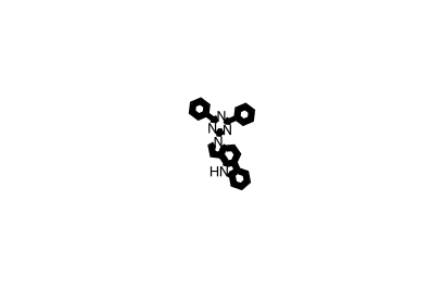 c1ccc(-c2nc(-c3ccccc3)nc(-n3ccc4c5[nH]c6ccccc6c5ccc43)n2)cc1